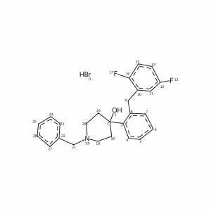 Br.OC1(c2ccccc2Cc2cc(F)ccc2F)CCN(Cc2ccccc2)CC1